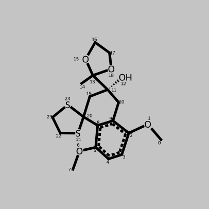 COc1ccc(OC)c2c1C[C@](O)(C1(C)OCCO1)CC21SCCS1